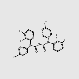 CCc1ccc(B(C(=O)OC(=O)B(c2ccc(CC)cc2)c2cccc(F)c2F)c2cccc(F)c2F)cc1